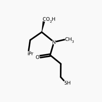 CC(C)C[C@@H](C(=O)O)N(C)C(=O)CCS